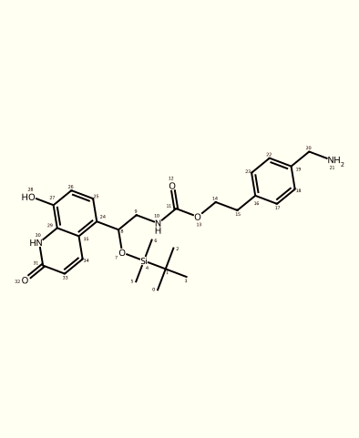 CC(C)(C)[Si](C)(C)OC(CNC(=O)OCCc1ccc(CN)cc1)c1ccc(O)c2[nH]c(=O)ccc12